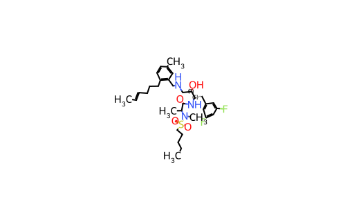 CC=CCCCc1ccc(C)cc1CNC[C@@H](O)[C@H](Cc1cc(F)cc(F)c1)NC(=O)C(C)N(C)S(=O)(=O)CCCCC